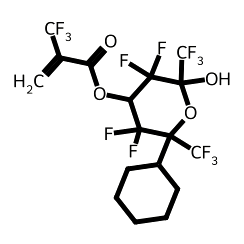 C=C(C(=O)OC1C(F)(F)C(O)(C(F)(F)F)OC(C2CCCCC2)(C(F)(F)F)C1(F)F)C(F)(F)F